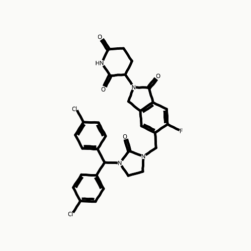 O=C1CCC(N2Cc3cc(CN4CCN(C(c5ccc(Cl)cc5)c5ccc(Cl)cc5)C4=O)c(F)cc3C2=O)C(=O)N1